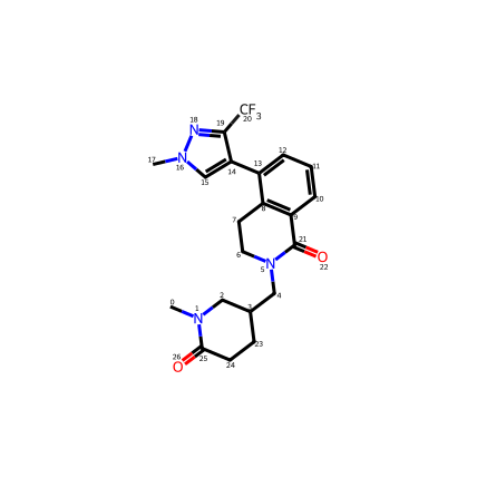 CN1CC(CN2CCc3c(cccc3-c3cn(C)nc3C(F)(F)F)C2=O)CCC1=O